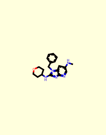 CNc1cnc2nc(NC3CCOCC3)n(Cc3ccccc3)c2c1